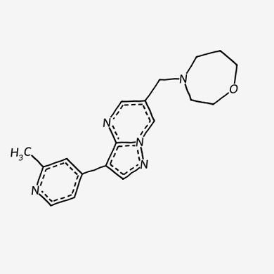 Cc1cc(-c2cnn3cc(CN4CCCOCC4)cnc23)ccn1